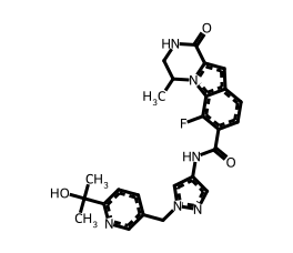 CC1CNC(=O)c2cc3ccc(C(=O)Nc4cnn(Cc5ccc(C(C)(C)O)nc5)c4)c(F)c3n21